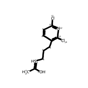 CC(O)=[SH]CCCc1ccc(Cl)nc1Cl